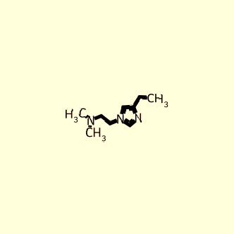 CCc1cn(CCN(C)C)cn1